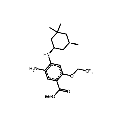 COC(=O)c1cc(N)c(N[C@@H]2C[C@H](C)CC(C)(C)C2)cc1OCC(F)(F)F